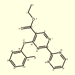 CCOC(=O)c1cnc(-c2ncccn2)nc1Oc1ccccc1C